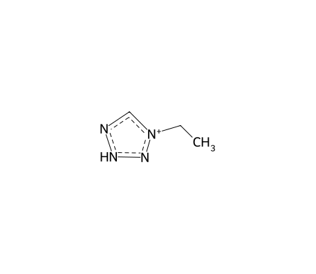 CC[n+]1cn[nH]n1